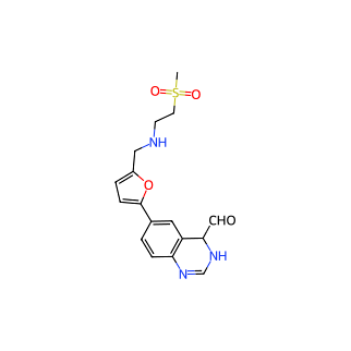 CS(=O)(=O)CCNCc1ccc(-c2ccc3c(c2)C(C=O)NC=N3)o1